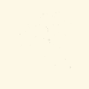 O=C(NC(C(=O)O)C12CC3CC(CC(O)(C3)C1)C2)c1sc2ccccc2c1OCc1ccc(OC(F)(F)F)cc1